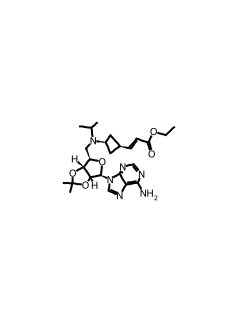 CCOC(=O)/C=C/[C@H]1C[C@@H](N(C[C@H]2O[C@@H](n3cnc4c(N)ncnc43)[C@@H]3OC(C)(C)O[C@@H]32)C(C)C)C1